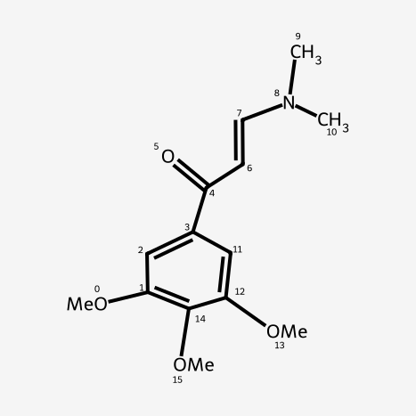 COc1cc(C(=O)C=CN(C)C)cc(OC)c1OC